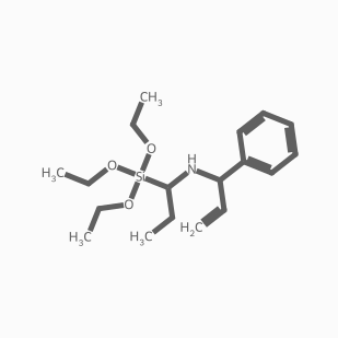 C=CC(NC(CC)[Si](OCC)(OCC)OCC)c1ccccc1